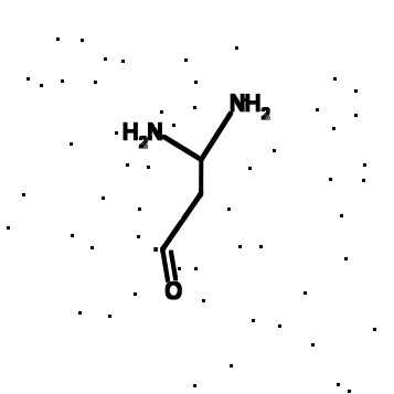 NC(N)C[C]=O